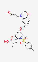 COCCCN1CCOc2ccc(CO[C@@H]3CC[C@@H](CC(C)C(=O)O)N(S(=O)(=O)c4ccc(C)cc4)C3)cc21